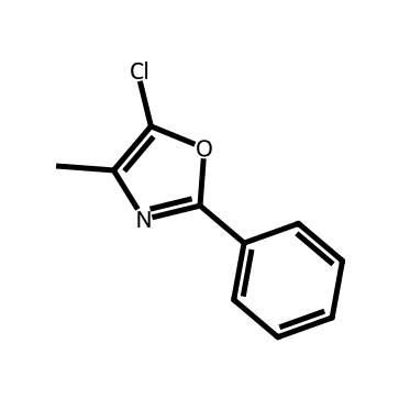 Cc1nc(-c2ccccc2)oc1Cl